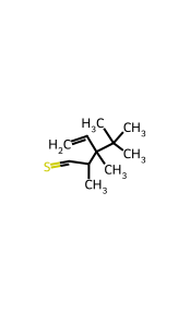 C=CC(C)(C(C)C=S)C(C)(C)C